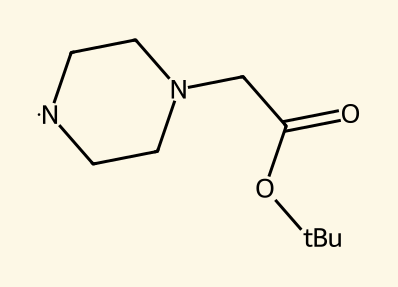 CC(C)(C)OC(=O)CN1CC[N]CC1